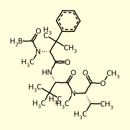 BC(=O)N(C)[C@@H](C(=O)N[C@H](C(=O)N(C)[C@H](C(=O)OC)C(C)C)C(C)(C)C)C(C)(C)c1ccccc1